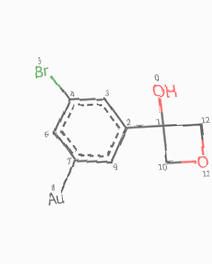 OC1(c2cc(Br)c[c]([Au])c2)COC1